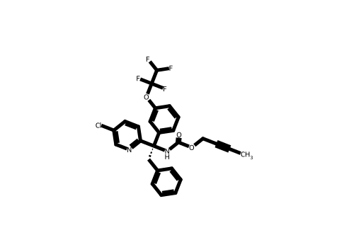 CC#CCOC(=O)N[C@](Cc1ccccc1)(c1cccc(OC(F)(F)C(F)F)c1)c1ccc(Cl)cn1